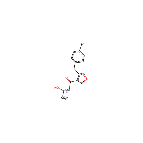 CC(=O)c1ccc(Cc2cocc2C(=O)/C=C(\O)C(=O)O)cc1